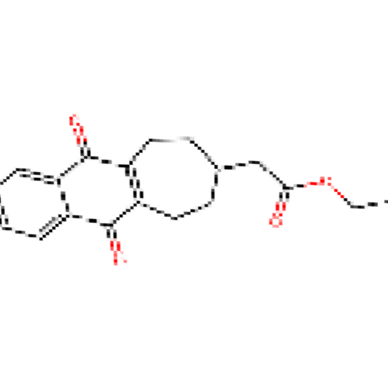 CCOC(=O)CC1CCC2=C(CC1)C(=O)c1ccccc1C2=O